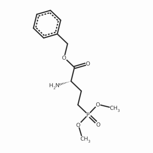 COP(=O)(CC[C@H](N)C(=O)OCc1ccccc1)OC